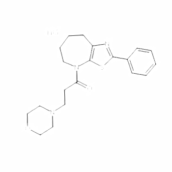 Cl.O=C(CCN1CCOCC1)N1CCCCc2nc(-c3ccccc3)sc21